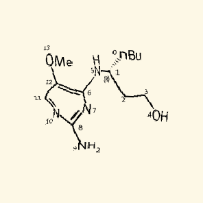 CCCC[C@H](CCO)Nc1nc(N)ncc1OC